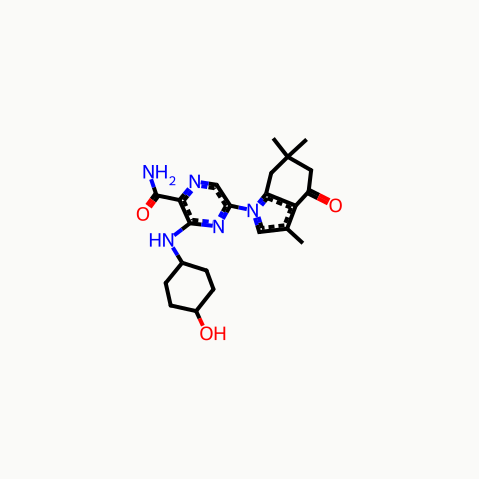 Cc1cn(-c2cnc(C(N)=O)c(NC3CCC(O)CC3)n2)c2c1C(=O)CC(C)(C)C2